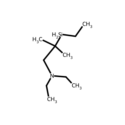 CC[SiH2]C(C)(C)CN(CC)CC